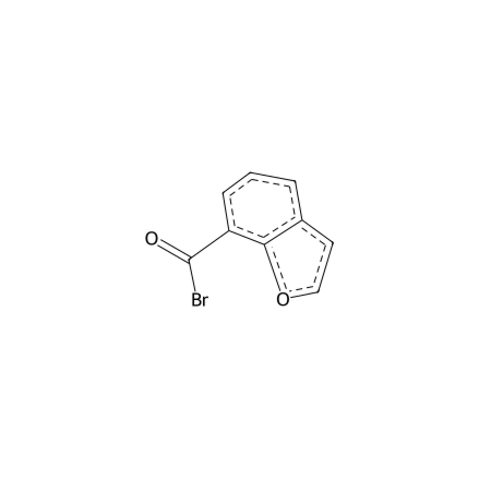 O=C(Br)c1cccc2ccoc12